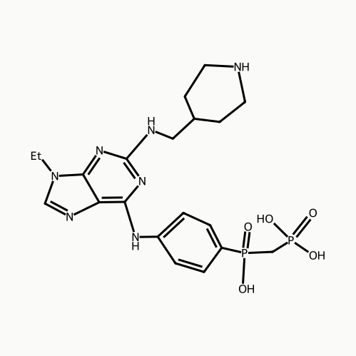 CCn1cnc2c(Nc3ccc(P(=O)(O)CP(=O)(O)O)cc3)nc(NCC3CCNCC3)nc21